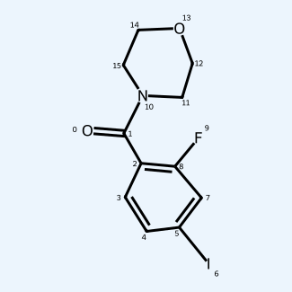 O=C(c1ccc(I)cc1F)N1CCOCC1